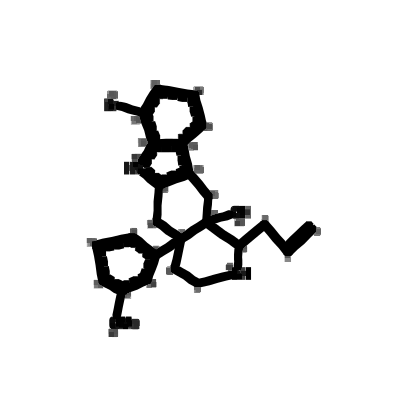 C=CCC1NCCC2(c3cccc(OC)c3)Cc3[nH]c4c(Br)cccc4c3CC12O